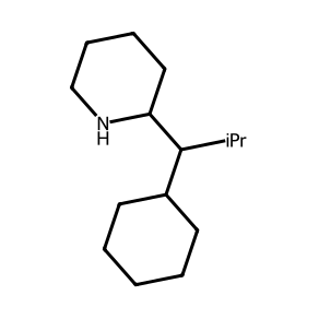 CC(C)C(C1CCCCC1)C1CCCCN1